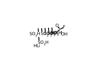 CS(=O)(=O)O.CS(=O)(=O)O.CS(=O)(=O)O.CS(=O)(=O)O.CS(=O)(=O)O.CS(=O)(=O)O.O=P(O)(O)F.[LiH]